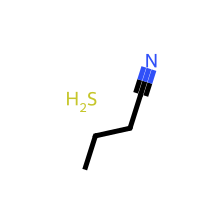 CCCC#N.S